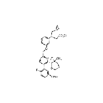 CCOC(=O)CC(CC1CC1)c1cccc(OCc2ccc(-c3cc(OC)ccc3F)c([C@H]3OCCCC3(C)C)c2)c1